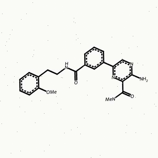 CNC(=O)c1nc(-c2cccc(C(=O)NCCc3ccccc3OC)c2)cnc1N